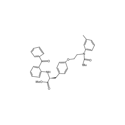 COC(=O)[C@H](Cc1ccc(OCCN(C(=O)C(C)(C)C)c2cccc(C)c2)cc1)Nc1ccccc1C(=O)c1ccccc1